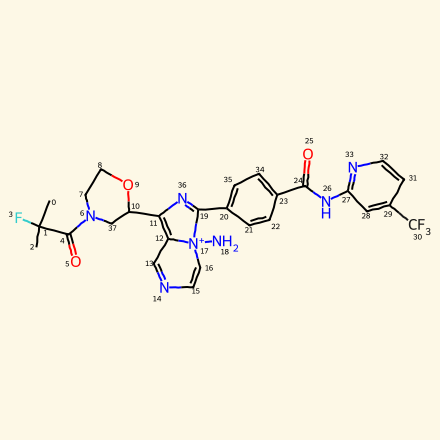 CC(C)(F)C(=O)N1CCOC(C2=C3C=NC=C[N+]3(N)C(c3ccc(C(=O)Nc4cc(C(F)(F)F)ccn4)cc3)=N2)C1